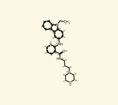 CCn1c2ccccc2c2cc(Nc3ncccc3C(=O)NCCCN3CCOCC3)ccc21